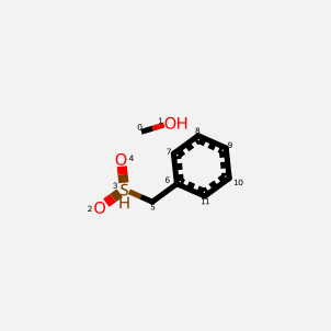 CO.O=[SH](=O)Cc1ccccc1